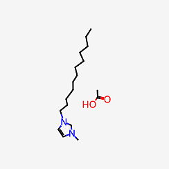 CC(=O)O.CCCCCCCCCCCCN1C=CN(C)C1